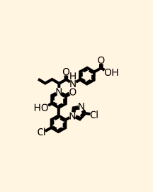 CCCC(C(=O)Nc1ccc(C(=O)O)cc1)n1cc(O)c(-c2cc(Cl)ccc2-n2cnc(Cl)c2)cc1=O